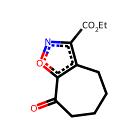 CCOC(=O)c1noc2c1CCCCC2=O